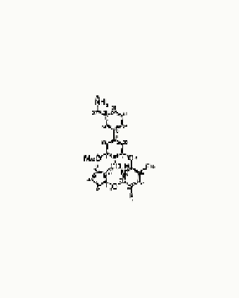 COc1cc(Oc2nc(Oc3ccsc3C(=O)O)c(F)cc2F)cc(-c2cccc(CN)c2)c1